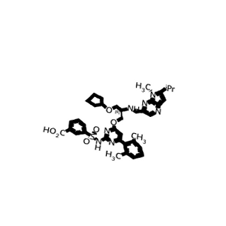 Cc1cccc(C)c1-c1cc(OC[C@@H](COC2CCCC2)NCc2cnc3cc(C(C)C)n(C)c3n2)nc(NS(=O)(=O)c2cccc(C(=O)O)c2)n1